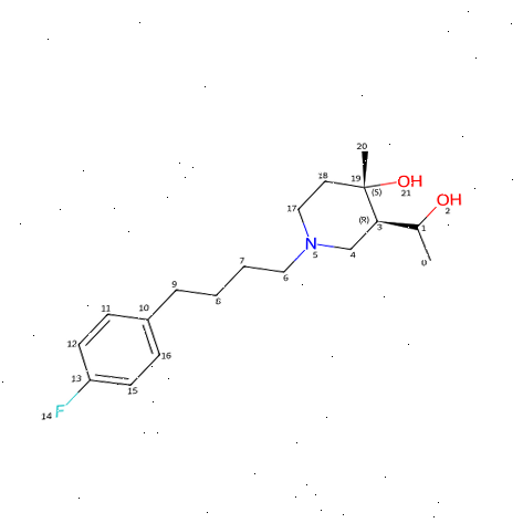 CC(O)[C@H]1CN(CCCCc2ccc(F)cc2)CC[C@]1(C)O